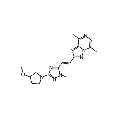 COC1CCN(c2nc(C=Cc3nc4c(C)ncc(C)n4n3)n(C)n2)C1